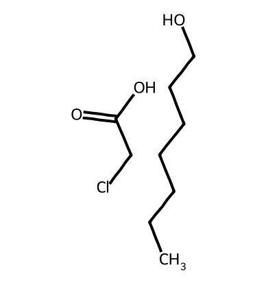 CCCCCCCO.O=C(O)CCl